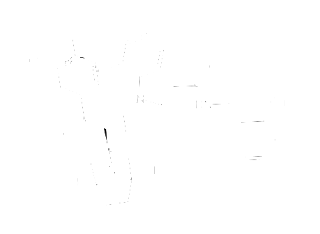 COc1cccc2c(C(=O)NCc3ccccc3C)cn(CCCN3[C@@H]4CC[C@H]3C[C@@H](CC(=O)c3ccc(F)c(Cl)c3)C4)c12